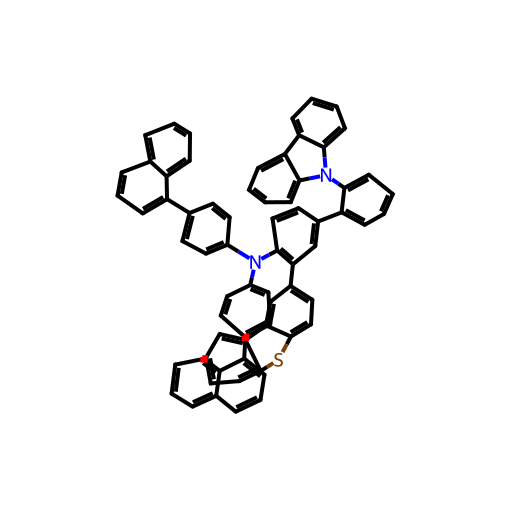 c1ccc(-n2c3ccccc3c3ccccc32)c(-c2ccc(N(c3ccc(-c4cccc5ccccc45)cc3)c3ccc(-c4cccc5ccccc45)cc3)c(-c3ccc4sc5ccccc5c4c3)c2)c1